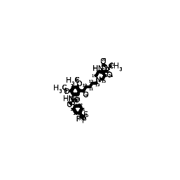 COc1cc(OC)c(C(=O)CCCCN2CCC3(CC2)NC(=O)N(C)C3=O)cc1NS(=O)(=O)c1ccc(C(F)(F)F)cc1